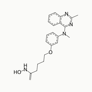 C=C(CCCCOc1cccc(N(C)c2nc(C)nc3ccccc23)c1)NO